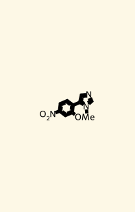 COc1cc([N+](=O)[O-])ccc1-c1cncn1C